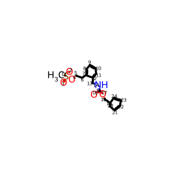 CS(=O)(=O)OCCc1ccccc1CNC(=O)OCc1ccccc1